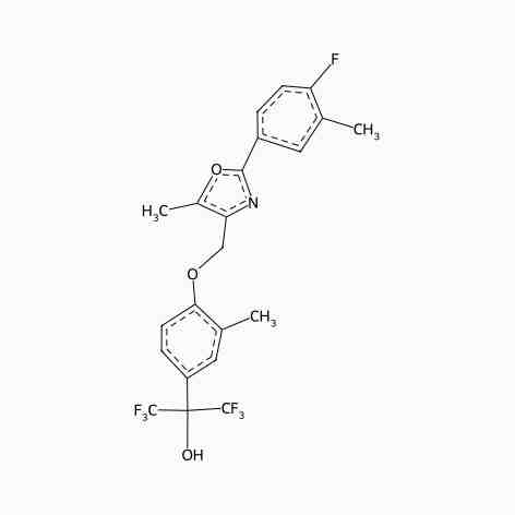 Cc1cc(-c2nc(COc3ccc(C(O)(C(F)(F)F)C(F)(F)F)cc3C)c(C)o2)ccc1F